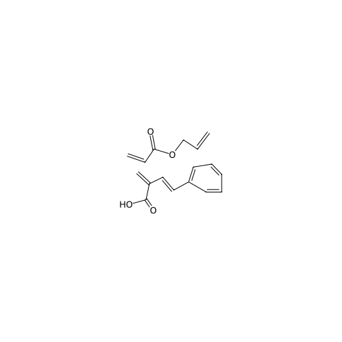 C=C(C=Cc1ccccc1)C(=O)O.C=CCOC(=O)C=C